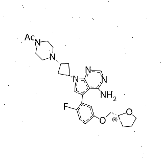 CC(=O)N1CCN([C@H]2C[C@@H](n3cc(-c4cc(OC[C@H]5CCCO5)ccc4F)c4c(N)ncnc43)C2)CC1